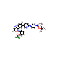 CC(C)(C)OC(=O)N1CCN(c2ccc(-c3cc4c5c([nH]c4cc3F)CCON5c3ccccc3OC(F)F)cn2)CC1